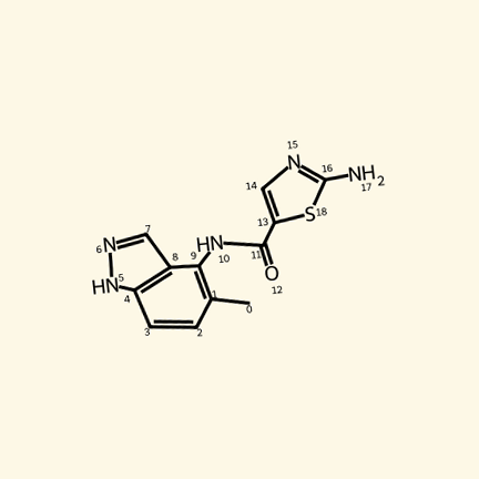 Cc1ccc2[nH]ncc2c1NC(=O)c1cnc(N)s1